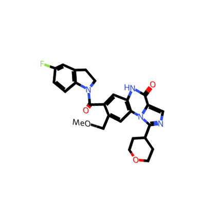 COCc1cc2c(cc1C(=O)N1CCc3cc(F)ccc31)[nH]c(=O)c1cnc(C3CCOCC3)n12